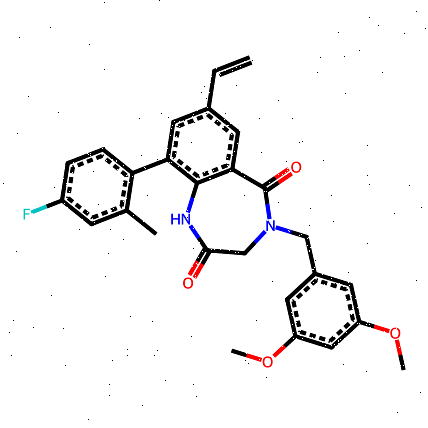 C=Cc1cc2c(c(-c3ccc(F)cc3C)c1)NC(=O)CN(Cc1cc(OC)cc(OC)c1)C2=O